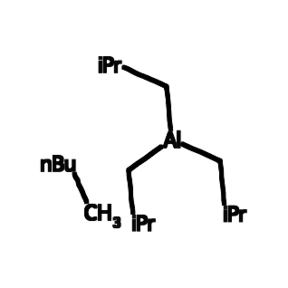 CC(C)[CH2][Al]([CH2]C(C)C)[CH2]C(C)C.CCCCC